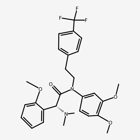 COc1ccc(N(CCc2ccc(C(F)(F)F)cc2)C(=O)[C@@H](c2ccccc2OC)N(C)C)cc1OC